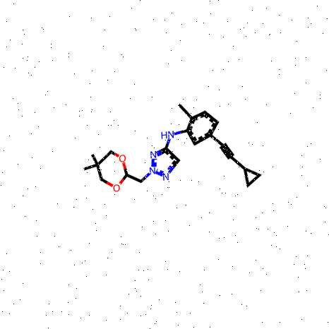 Cc1ccc(C#CC2CC2)cc1Nc1cnn(CC2OCC(C)(C)CO2)n1